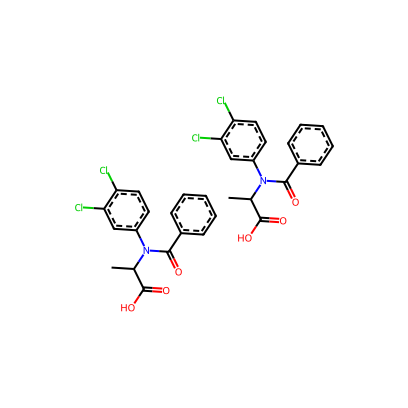 CC(C(=O)O)N(C(=O)c1ccccc1)c1ccc(Cl)c(Cl)c1.CC(C(=O)O)N(C(=O)c1ccccc1)c1ccc(Cl)c(Cl)c1